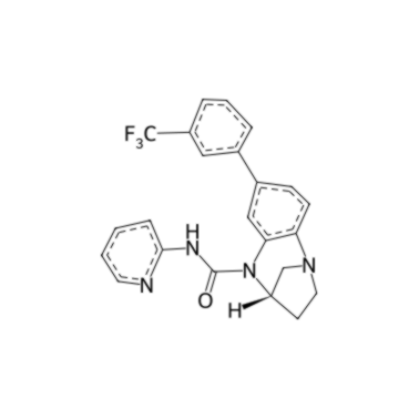 O=C(Nc1ccccn1)N1c2cc(-c3cccc(C(F)(F)F)c3)ccc2N2CC[C@H]1C2